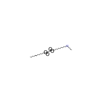 CCCCC=CCCCCCCOC(=O)CCC(=O)OCCCCCCCCCC/C=C\CCCC